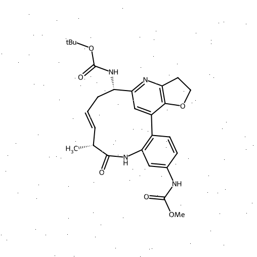 COC(=O)Nc1ccc2c(c1)NC(=O)[C@H](C)/C=C/C[C@H](NC(=O)OC(C)(C)C)c1cc-2c2c(n1)CCO2